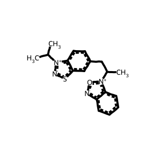 CC(C)[n+]1nsc2cc(CC(C)[n+]3onc4ccccc43)ccc21